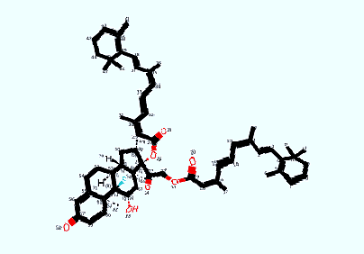 CC(C=CC1=C(C)CCCC1(C)C)=CC=CC(C)=CC(=O)OCC(=O)[C@]1(OC(=O)C=C(C)C=CC=C(C)C=CC2=C(C)CCCC2(C)C)[C@@H](C)C[C@H]2[C@@H]3CCC4=CC(=O)C=C[C@]4(C)[C@@]3(F)[C@@H](O)C[C@@]21C